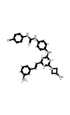 O=C(Nc1ccc(Cl)cc1)Nc1ccc(Nc2nc(/C=C/c3cccc([N+](=O)[O-])c3)nc(N3CC(O)C3)n2)cc1